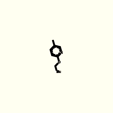 CCC(C)COc1ccc(C)cn1